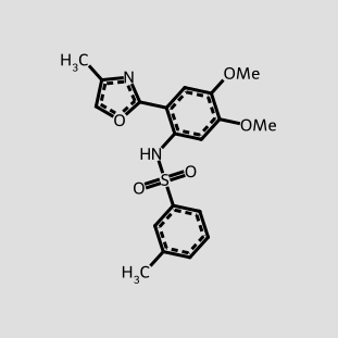 COc1cc(NS(=O)(=O)c2cccc(C)c2)c(-c2nc(C)co2)cc1OC